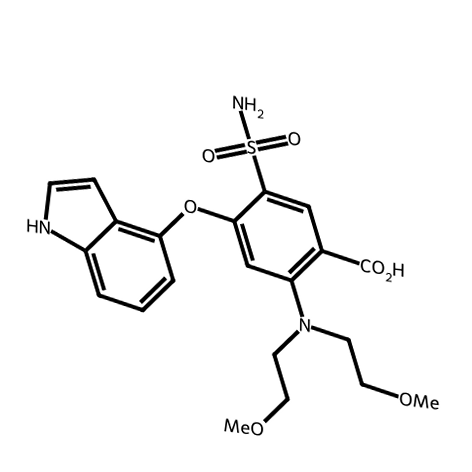 COCCN(CCOC)c1cc(Oc2cccc3[nH]ccc23)c(S(N)(=O)=O)cc1C(=O)O